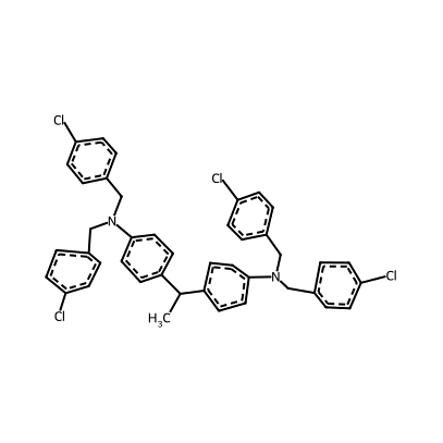 CC(c1ccc(N(Cc2ccc(Cl)cc2)Cc2ccc(Cl)cc2)cc1)c1ccc(N(Cc2ccc(Cl)cc2)Cc2ccc(Cl)cc2)cc1